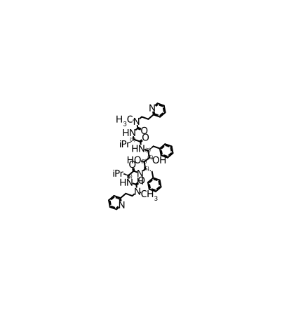 CC(C)[C@H](NC(=O)N(C)CCc1ccccn1)C(=O)N[C@@H](Cc1ccccc1)[C@H](O)[C@H](O)[C@H](Cc1ccccc1)NC(=O)[C@@H](NC(=O)N(C)CCc1ccccn1)C(C)C